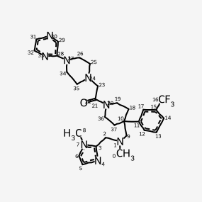 CN(Cc1nccn1C)CC1(c2cccc(C(F)(F)F)c2)CCN(C(=O)CN2CCN(c3cnccn3)CC2)CC1